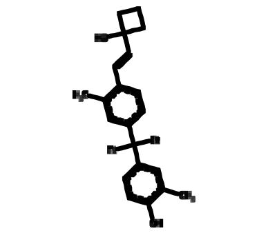 CCC(CC)(c1ccc(O)c(C)c1)c1ccc(C=CC2(O)CCC2)c(C)c1